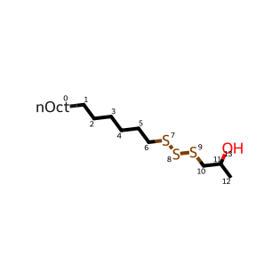 CCCCCCCCCCCCCCSSSCC(C)O